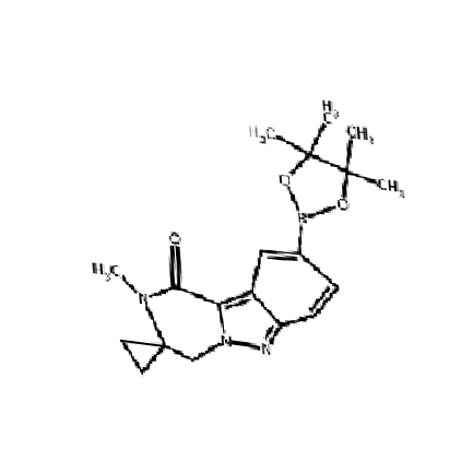 CN1C(=O)c2c3cc(B4OC(C)(C)C(C)(C)O4)ccc3nn2CC12CC2